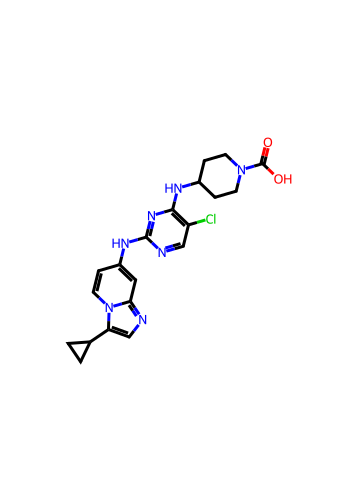 O=C(O)N1CCC(Nc2nc(Nc3ccn4c(C5CC5)cnc4c3)ncc2Cl)CC1